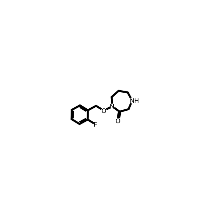 O=C1CNCCCN1OCc1ccccc1F